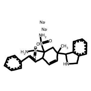 CC1(C2NCc3ccccc32)C=CC(C=Cc2ccccc2)C(S(N)(=O)=O)(S(N)(=O)=O)C1.[Na].[Na]